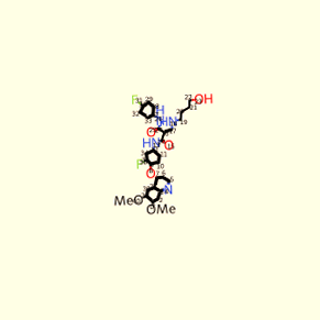 COc1cc2nccc(Oc3ccc(NC(=O)/C(=C/NCCCCO)C(=O)Nc4ccc(F)cc4)cc3F)c2cc1OC